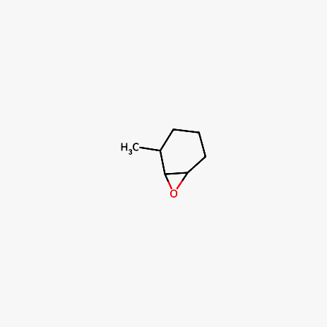 CC1CCCC2OC12